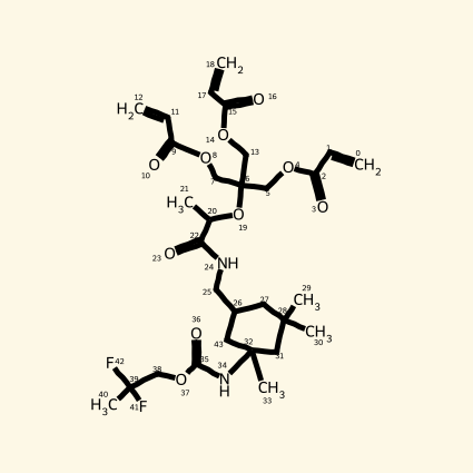 C=CC(=O)OCC(COC(=O)C=C)(COC(=O)C=C)OC(C)C(=O)NCC1CC(C)(C)CC(C)(NC(=O)OCC(C)(F)F)C1